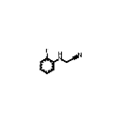 N#CCNc1ccccc1F